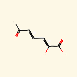 CC(=O)/C=C/C=C(\O)C(=O)O